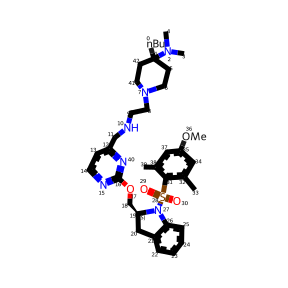 CCCCC1(N(C)C)CCN(CCNCc2ccnc(OC[C@@H]3Cc4ccccc4N3S(=O)(=O)c3c(C)cc(OC)cc3C)n2)CC1